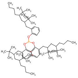 CCCCC(CC(Cc1ccccc1OP(Oc1ccccc1CC(CC(CCCC)C(C)(C)C)C(C)(C)C)Oc1ccccc1CC(CC(CCCC)C(C)(C)C)C(C)(C)C)C(C)(C)C)C(C)(C)C